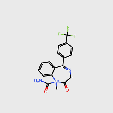 C[N+]1(C(N)=O)C(=O)[CH]N=C(c2ccc(C(F)(F)F)cc2)c2ccccc21